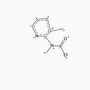 CCC(=O)N(C)c1ncccc1C